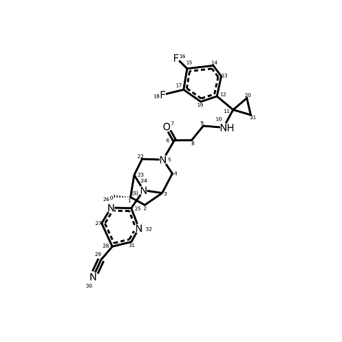 C[C@H]1CC2CN(C(=O)CCNC3(c4ccc(F)c(F)c4)CC3)CC1N2c1ncc(C#N)cn1